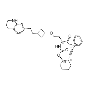 O=C(N[C@@H](CCOC1CC(CCc2ccc3c(n2)NCCC3)C1)C(=O)O)O[C@@H]1CCCC[C@H]1C#Cc1ccccc1